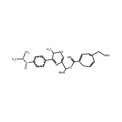 CNCC1=CC=C(C(=N)OC(NC)C2=CNC(C)C(c3ccc([S+]([O-])N(C)C)cc3)=N2)CC=C1